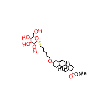 COC(=O)[C@H]1CC[C@H]2[C@@H]3CC=C4CC(OCCCCCCS[C@@H]5O[C@H](CO)[C@@H](O)[C@H](O)[C@@H]5O)CC[C@]4(C)[C@H]3CC[C@]12C